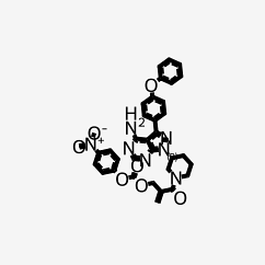 C=C(COC(=O)Oc1ccc([N+](=O)[O-])cc1)C(=O)N1CCC[C@@H](n2nc(-c3ccc(Oc4ccccc4)cc3)c3c(N)ncnc32)C1